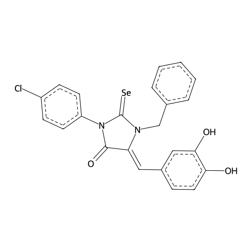 O=C1C(=Cc2ccc(O)c(O)c2)N(Cc2ccccc2)C(=[Se])N1c1ccc(Cl)cc1